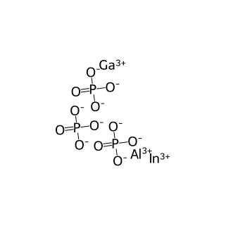 O=P([O-])([O-])[O-].O=P([O-])([O-])[O-].O=P([O-])([O-])[O-].[Al+3].[Ga+3].[In+3]